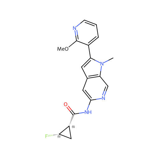 COc1ncccc1-c1cc2cc(NC(=O)[C@@H]3C[C@@H]3F)ncc2n1C